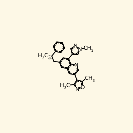 Cc1noc(C)c1-c1cnc2c(-c3cnn(C)c3)cc(C[C@H](C)c3ccccc3)cc2c1